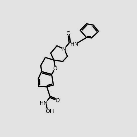 O=C(NO)c1ccc2c(c1)OC1(CC2)CCN(C(=O)Nc2ccccc2)CC1